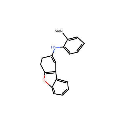 CNc1ccccc1NC1=Cc2c(oc3ccccc23)CC1